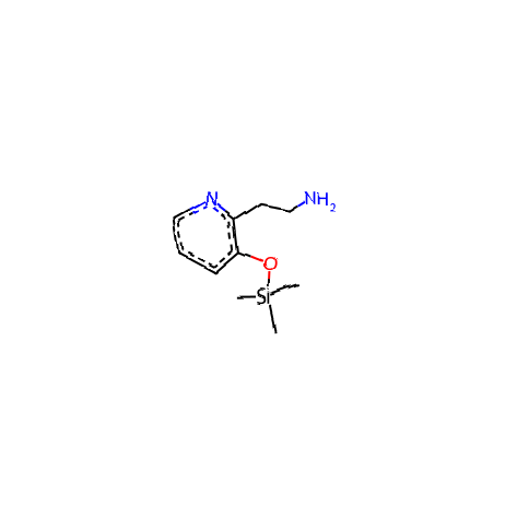 C[Si](C)(C)Oc1cccnc1CCN